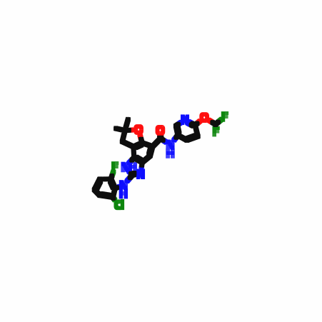 CC1(C)Cc2c(c(C(=O)Nc3ccc(OC(F)F)nc3)cc3nc(Nc4c(F)cccc4Cl)[nH]c23)O1